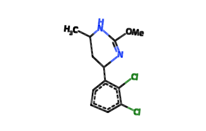 COC1=NC(c2cccc(Cl)c2Cl)CC(C)N1